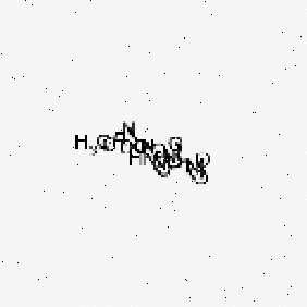 CO[C@@H]1CCC1Oc1cc(NC(=O)N2CCCc3cc(CN4CCOCC4=O)c(C=O)nc32)ncc1C#N